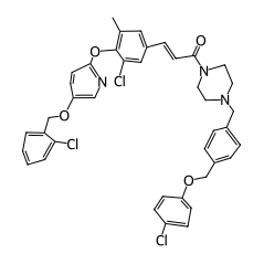 Cc1cc(C=CC(=O)N2CCN(Cc3ccc(COc4ccc(Cl)cc4)cc3)CC2)cc(Cl)c1Oc1ccc(OCc2ccccc2Cl)cn1